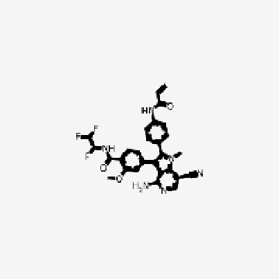 C=CC(=O)Nc1ccc(-c2c(-c3ccc(C(=O)NC(F)C(F)F)c(OC)c3)c3c(N)ncc(C#N)c3n2C)cc1